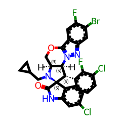 O=C1Nc2cc(Cl)ccc2[C@@]12[C@@H](c1cccc(Cl)c1F)[C@H]1[C@H](COc3c4cc(F)c(Br)cc4nn31)N2CC1CC1